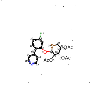 CC(=O)O[C@@H]1[C@@H](OC(C)=O)[C@@H](Oc2cc(F)ccc2-c2ccncc2)SC[C@H]1OC(C)=O